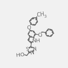 Cc1ccc(Oc2cc(OCc3ccccc3)c3[nH]c(-c4nnc(CO)s4)cc3c2)cc1